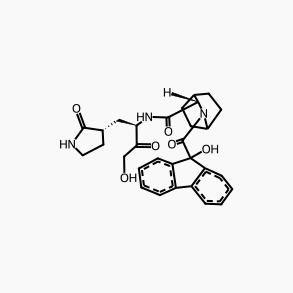 O=C1NCC[C@H]1C[C@@H](NC(=O)[C@@H]1C2CCC(CC2)N1C(=O)C1(O)c2ccccc2-c2ccccc21)C(=O)CO